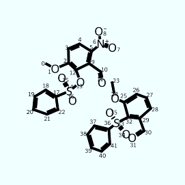 COc1ccc([N+](=O)[O-])c(C=O)c1OS(=O)(=O)c1ccccc1.COc1cccc(C=O)c1S(=O)(=O)c1ccccc1